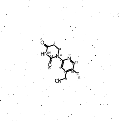 O=C1CCN(c2cc(CCl)c(F)cn2)C(=O)N1